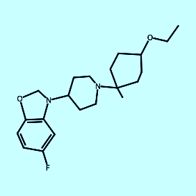 CCOC1CCC(C)(N2CCC(N3COc4ccc(F)cc43)CC2)CC1